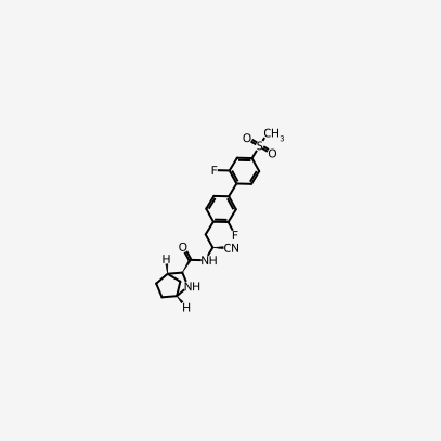 CS(=O)(=O)c1ccc(-c2ccc(C[C@@H](C#N)NC(=O)[C@H]3N[C@@H]4CC[C@H]3C4)c(F)c2)c(F)c1